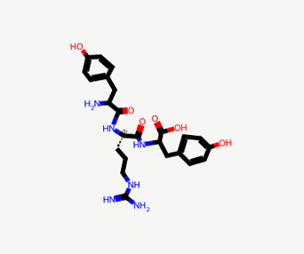 N=C(N)NCCC[C@H](NC(=O)C(N)Cc1ccc(O)cc1)C(=O)NC(Cc1ccc(O)cc1)C(=O)O